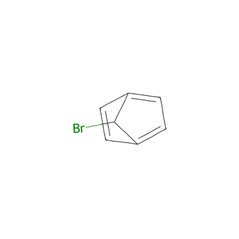 BrC1C2=CC=C1C=C2